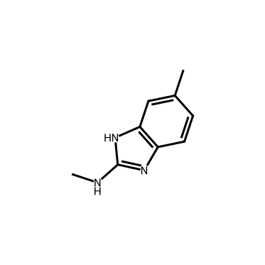 CNc1nc2ccc(C)cc2[nH]1